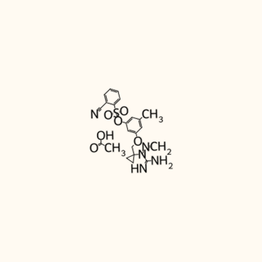 C=NN(C(=N)N)C1(COc2cc(C)cc(OS(=O)(=O)c3ccccc3C#N)c2)CC1.CC(=O)O